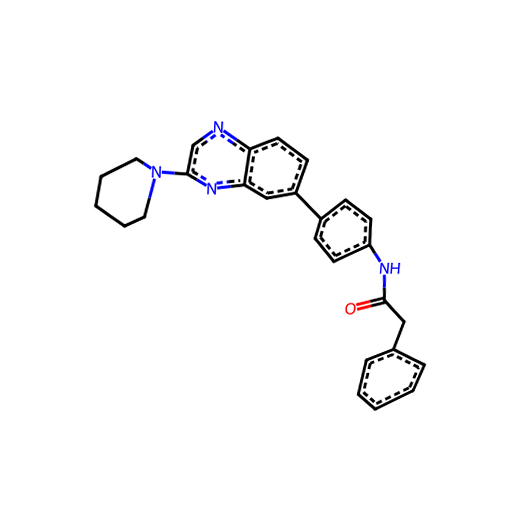 O=C(Cc1ccccc1)Nc1ccc(-c2ccc3ncc(N4CCCCC4)nc3c2)cc1